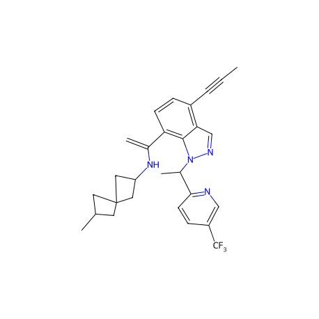 C=C(NC1CC2(CC(C)C2)C1)c1ccc(C#CC)c2cnn(C(C)c3ccc(C(F)(F)F)cn3)c12